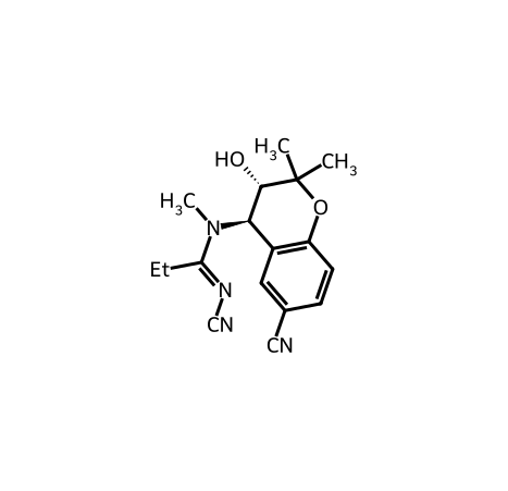 CCC(=NC#N)N(C)[C@@H]1c2cc(C#N)ccc2OC(C)(C)[C@H]1O